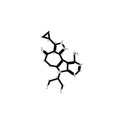 Nc1ncnc2c1c1c(n2C(CF)CF)CCC(=O)c2c-1noc2C1CC1